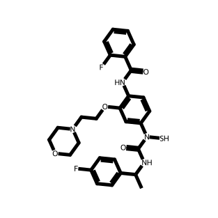 CC(NC(=O)N(S)c1ccc(NC(=O)c2ccccc2F)c(OCCN2CCOCC2)c1)c1ccc(F)cc1